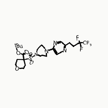 CC(C)(C)OC(=O)C1(S(=O)(=O)N2CCN(c3cnc(CCC(F)(F)C(F)(F)F)cn3)CC2)CCOCC1